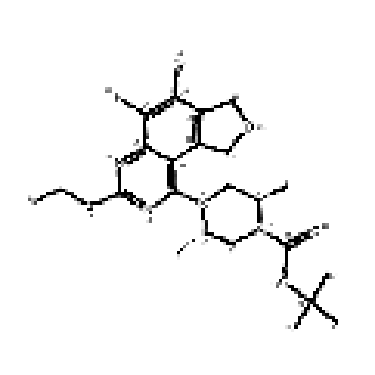 CCSc1nc(N2C[C@@H](C)N(C(=O)OC(C)(C)C)C[C@@H]2C)c2c3c(c(Br)c(F)c2n1)COC3